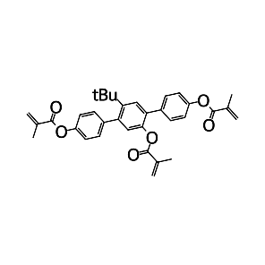 C=C(C)C(=O)Oc1ccc(-c2cc(C(C)(C)C)c(-c3ccc(OC(=O)C(=C)C)cc3)cc2OC(=O)C(=C)C)cc1